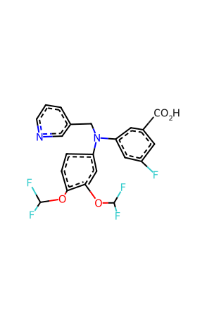 O=C(O)c1cc(F)cc(N(Cc2cccnc2)c2ccc(OC(F)F)c(OC(F)F)c2)c1